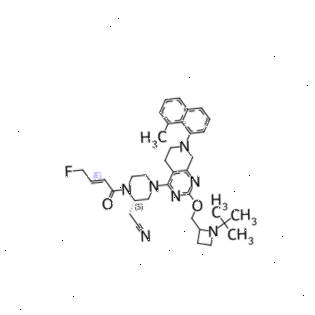 Cc1cccc2cccc(N3CCc4c(nc(OCC5CCN5C(C)(C)C)nc4N4CCN(C(=O)/C=C/CF)[C@@H](CC#N)C4)C3)c12